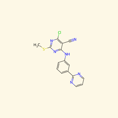 CSc1nc(Cl)c(C#N)c(Nc2cccc(-c3ncccn3)c2)n1